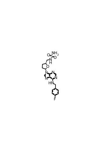 NS(=O)(=O)NC[C@@H]1CC[C@H](n2cnc3c(NCc4ccc(F)cc4)ncnc32)O1